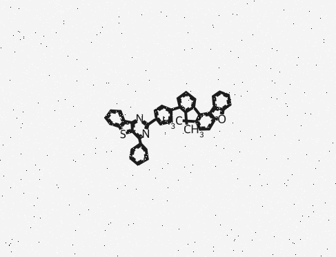 CC1(C)c2ccc3oc4ccccc4c3c2-c2cccc(-c3ccc(-c4nc(-c5ccccc5)c5sc6ccccc6c5n4)cc3)c21